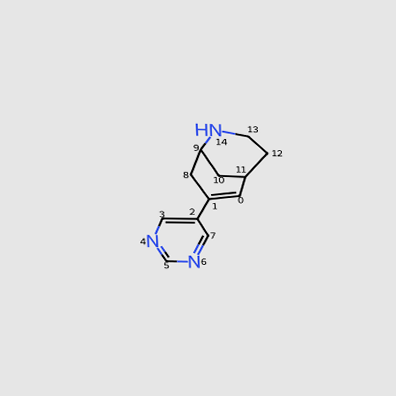 C1=C(c2cncnc2)CC2CC1CCN2